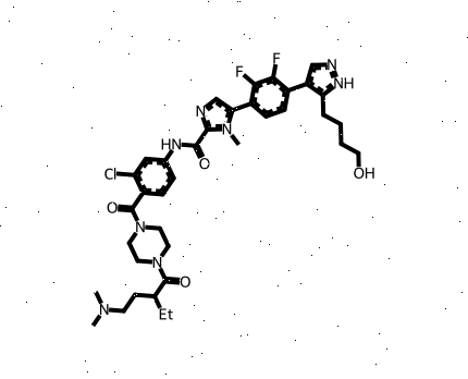 CCC(CCN(C)C)C(=O)N1CCN(C(=O)c2ccc(NC(=O)c3ncc(-c4ccc(-c5cn[nH]c5CCCCO)c(F)c4F)n3C)cc2Cl)CC1